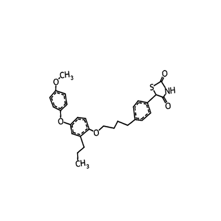 CCCc1cc(Oc2ccc(OC)cc2)ccc1OCCCCc1ccc(C2SC(=O)NC2=O)cc1